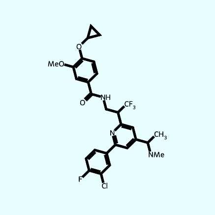 CNC(C)c1cc(-c2ccc(F)c(Cl)c2)nc(C(CNC(=O)c2ccc(OC3CC3)c(OC)c2)C(F)(F)F)c1